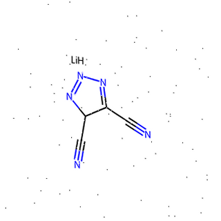 N#CC1=NN=NC1C#N.[LiH]